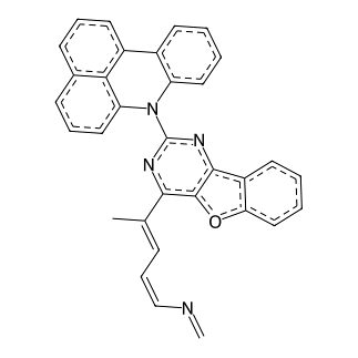 C=N/C=C\C=C(/C)c1nc(N2c3ccccc3-c3cccc4cccc2c34)nc2c1oc1ccccc12